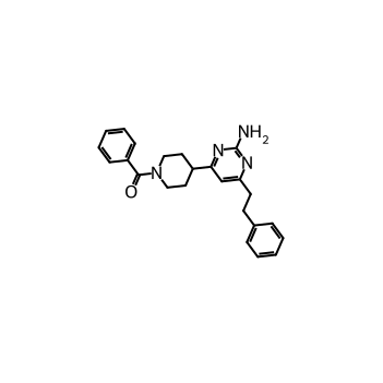 Nc1nc(CCc2ccccc2)cc(C2CCN(C(=O)c3ccccc3)CC2)n1